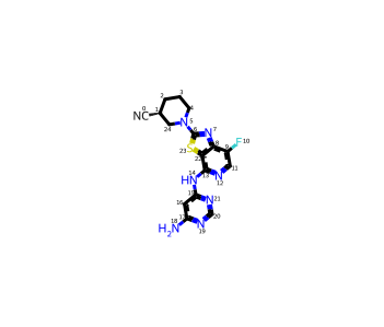 N#C[C@H]1CCCN(c2nc3c(F)cnc(Nc4cc(N)ncn4)c3s2)C1